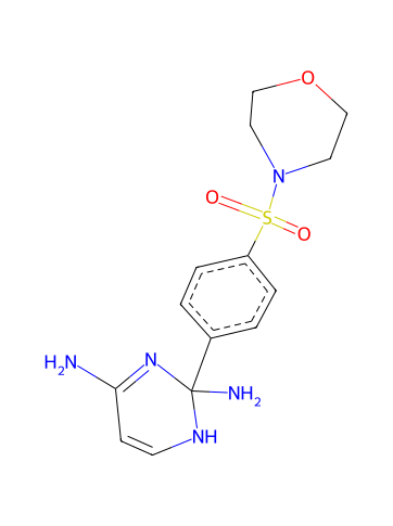 NC1=NC(N)(c2ccc(S(=O)(=O)N3CCOCC3)cc2)NC=C1